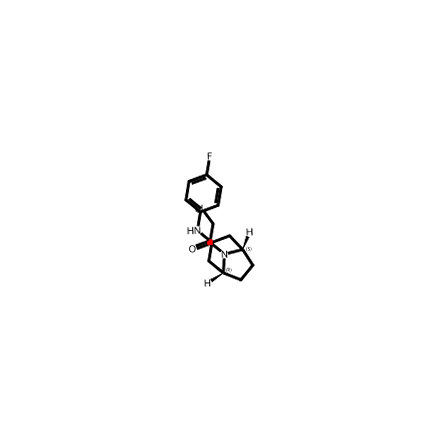 O=C(CCl)N1[C@@H]2CC[C@H]1CC(Nc1ccc(F)cc1)C2